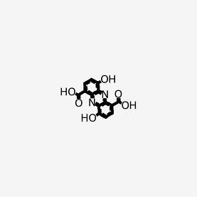 O=C(O)c1ccc(O)c2nc3c(C(=O)O)ccc(O)c3nc12